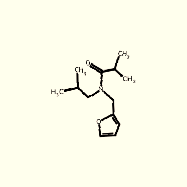 CC(C)CN(Cc1ccco1)C(=O)C(C)C